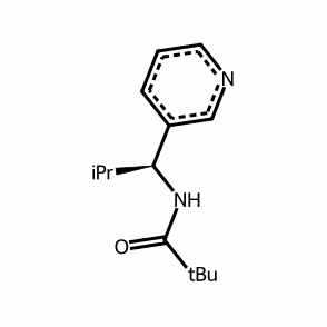 CC(C)[C@H](NC(=O)C(C)(C)C)c1cccnc1